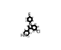 Fc1ccc(-n2cc(C3=CCNCC3)c3cc(Cl)ccc32)cc1